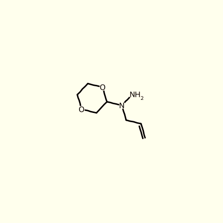 C=CCN(N)C1COCCO1